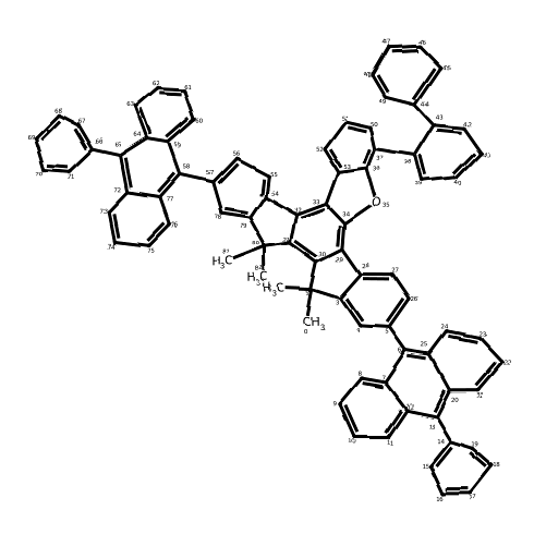 CC1(C)c2cc(-c3c4ccccc4c(-c4ccccc4)c4ccccc34)ccc2-c2c1c1c(c3c2oc2c(-c4ccccc4-c4ccccc4)cccc23)-c2ccc(-c3c4ccccc4c(-c4ccccc4)c4ccccc34)cc2C1(C)C